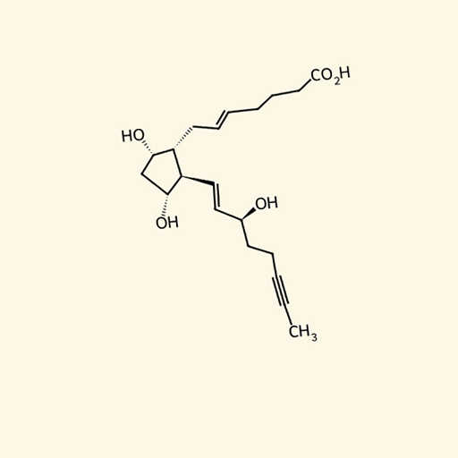 CC#CCC[C@H](O)C=C[C@@H]1[C@@H](CC=CCCCC(=O)O)[C@@H](O)C[C@H]1O